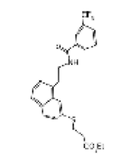 CCOC(=O)CCSc1ccc2cccc(CCNC(=O)c3cccc(C(F)(F)F)c3)c2c1